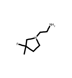 CC1(F)CCN(CCN)C1